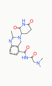 CC1=Nc2cccc(C(=O)NC(=O)CN(C)C)c2CN1C1CCC(=O)NC1=O